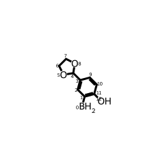 Bc1cc(C2OCCO2)ccc1O